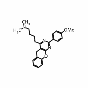 COc1ccc(-c2nc3c(c(SCCCN(C)C)n2)Cc2ccccc2O3)cc1